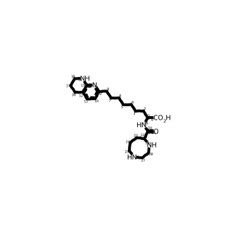 O=C(O)C(CCCCCCCc1ccc2c(n1)NCCC2)NC(=O)C1CCCNCCN1